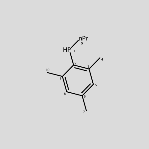 CCCPc1c(C)cc(C)cc1C